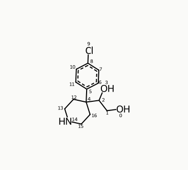 OCC(O)C1(c2ccc(Cl)cc2)CCNCC1